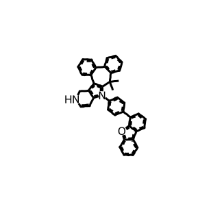 CC1(C)c2ccccc2-c2ccccc2-c2c3c(n(-c4ccc(-c5cccc6c5oc5ccccc56)cc4)c21)C=CNC3